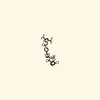 O=C(Nc1csc(C2CCN(C(=O)Cn3nc(C(F)F)cc3C(F)F)CC2)n1)c1cccc(Cl)c1O